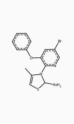 CC1=CSC([AsH2])N1c1ncc(Br)cc1Oc1ccccc1